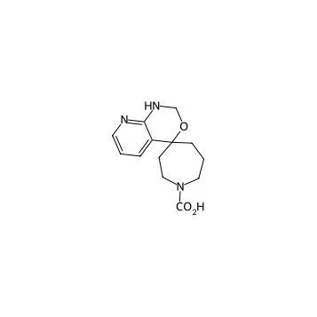 O=C(O)N1CCCC2(CC1)OCNc1ncccc12